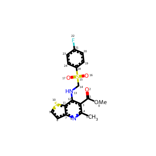 COC(=O)c1c(C)nc2ccsc2c1NCS(=O)(=O)c1ccc(F)cc1